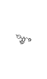 CN1CCN(c2nc(Cc3cccs3)cn3cnnc23)CC1